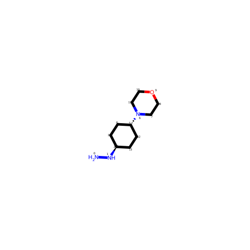 NN[C@H]1CC[C@H](N2CCOCC2)CC1